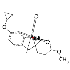 COC1CCC2(CC1)Cc1ccc(OC3CC3)cc1C21NC(=O)NC1=O